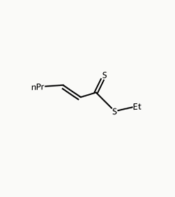 CCC/C=C/C(=S)SCC